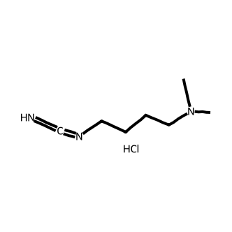 CN(C)CCCCN=C=N.Cl